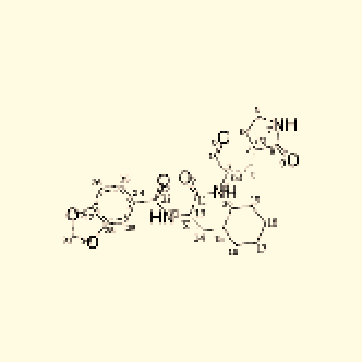 O=C[C@H](C[C@@H]1CCNC1=O)NC(=O)[C@H](CC1CCCCC1)NC(=O)c1ccc2c(c1)OCO2